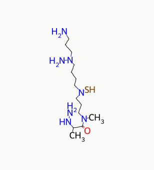 CC(NN)C(=O)N(C)CCCN(S)CCCCN(N)CCCN